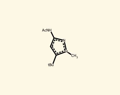 CC(=O)Nc1cc(C(C)(C)C)n(C)n1